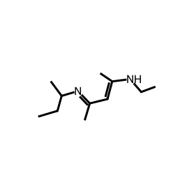 CCNC(C)=CC(C)=NC(C)CC